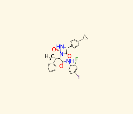 C[C@@H](c1ccccc1)[C@@H](C(=O)Nc1ccc(I)cc1F)N1C(=O)N[C@@H](c2ccc(C3CC3)cc2)C1=O